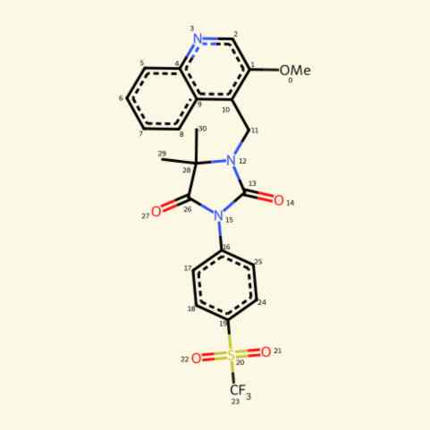 COc1cnc2ccccc2c1CN1C(=O)N(c2ccc(S(=O)(=O)C(F)(F)F)cc2)C(=O)C1(C)C